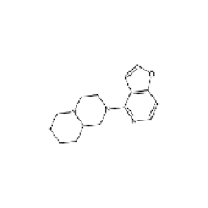 c1cc2occc2c(N2CCN3CCCCC3C2)n1